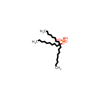 CCCCCCCCCC(CCCCCCCC)(CCCCCCCCC)OP(=O)(O)O